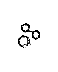 c1ccc(-c2ccccc2)cc1.c1ccnoocc1